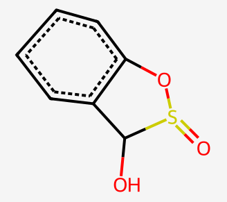 O=S1Oc2ccccc2C1O